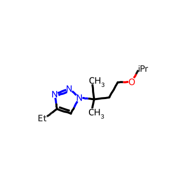 CCc1cn(C(C)(C)CCOC(C)C)nn1